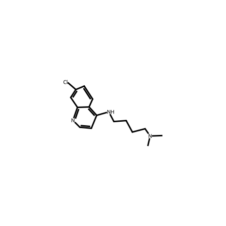 CN(C)CCCCNc1ccnc2cc(Cl)ccc12